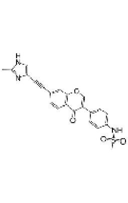 Cc1nc(C#Cc2ccc3c(=O)c(-c4ccc(NS(C)(=O)=O)cc4)coc3c2)c[nH]1